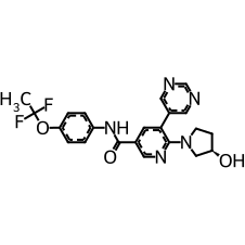 CC(F)(F)Oc1ccc(NC(=O)c2cnc(N3CC[C@@H](O)C3)c(-c3cncnc3)c2)cc1